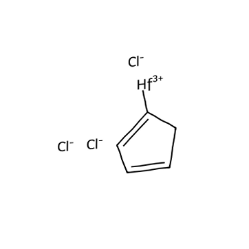 [Cl-].[Cl-].[Cl-].[Hf+3][C]1=CC=CC1